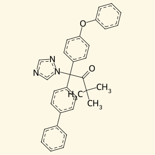 CC(C)(C)C(=O)C(c1ccc(Oc2ccccc2)cc1)(c1ccc(-c2ccccc2)cc1)n1cncn1